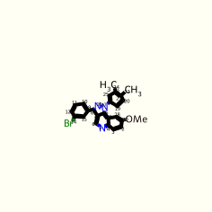 COc1ccc2ncc3c(-c4cccc(Br)c4)nn(-c4ccc(C)c(C)c4)c3c2c1